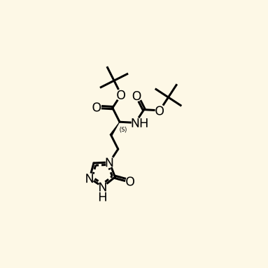 CC(C)(C)OC(=O)N[C@@H](CCn1cn[nH]c1=O)C(=O)OC(C)(C)C